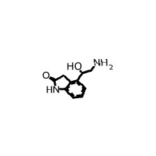 NCC(O)c1cccc2c1CC(=O)N2